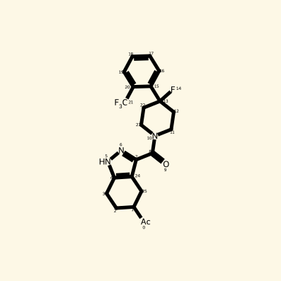 CC(=O)C1CCc2[nH]nc(C(=O)N3CCC(F)(c4ccccc4C(F)(F)F)CC3)c2C1